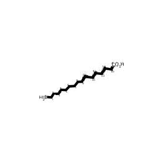 BCCCCCCCCCCCCCCCC(=O)O